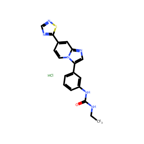 Cl.O=C(NCC(F)(F)F)Nc1cccc(-c2cnc3cc(-c4ncns4)ccn23)c1